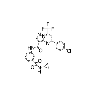 O=C(Nc1cccc(S(=O)(=O)NC2CC2)c1)c1cnn2c(C(F)(F)F)cc(-c3ccc(Cl)cc3)nc12